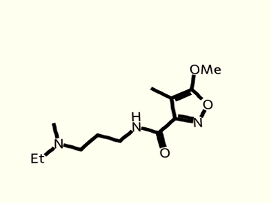 CCN(C)CCCNC(=O)c1noc(OC)c1C